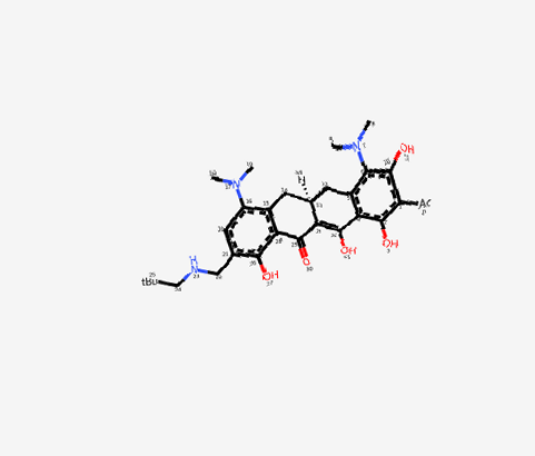 CC(=O)c1c(O)c2c(c(N(C)C)c1O)C[C@@H]1Cc3c(N(C)C)cc(CNCC(C)(C)C)c(O)c3C(=O)C1=C2O